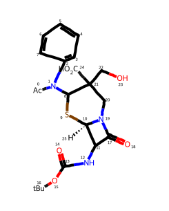 CC(=O)N(c1ccccc1)C1S[C@@H]2C(NC(=O)OC(C)(C)C)C(=O)N2CC1(CO)C(=O)O